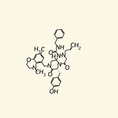 C=CCN1CC(=O)N2[C@H](Cc3ccc(O)cc3)C(=O)N(Cc3cc(C)cc4c3N(C)CCO4)C[C@@H]2N1C(=O)NCc1ccccc1